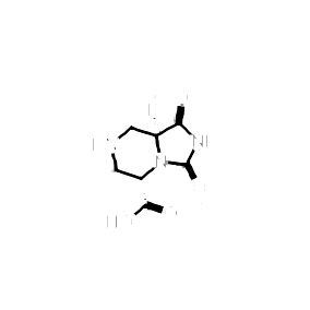 O=C(O)[C@@H]1CNC[C@H]2C(=O)NC(=O)N12